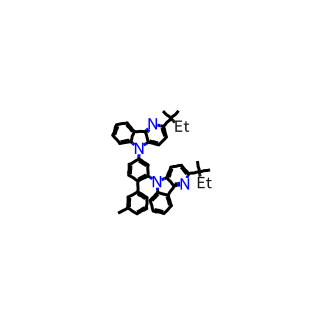 CCC(C)(C)c1ccc2c(n1)c1ccccc1n2-c1ccc(-c2cccc(C)c2)c(-n2c3ccccc3c3nc(C(C)(C)CC)ccc32)c1